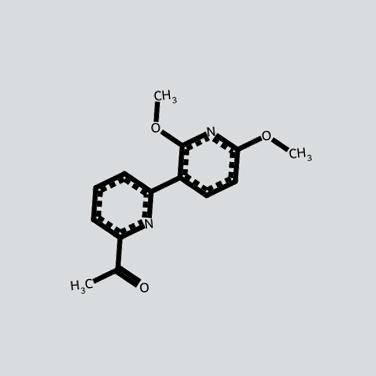 COc1ccc(-c2cccc(C(C)=O)n2)c(OC)n1